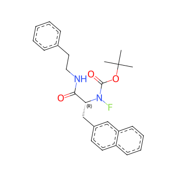 CC(C)(C)OC(=O)N(F)[C@H](Cc1ccc2ccccc2c1)C(=O)NCCc1ccccc1